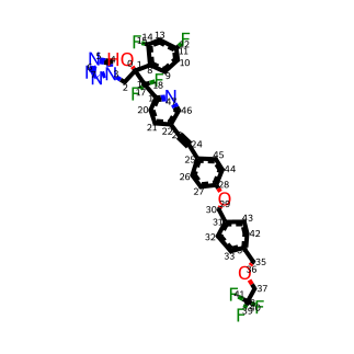 OC(Cn1cnnn1)(c1ccc(F)cc1F)C(F)(F)c1ccc(C#Cc2ccc(OCc3ccc(COCC(F)(F)F)cc3)cc2)cn1